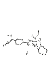 CCC(=O)C(NC(=O)c1ccc(C(=N)SC)cc1)(Oc1ccccc1)C(=O)O.I